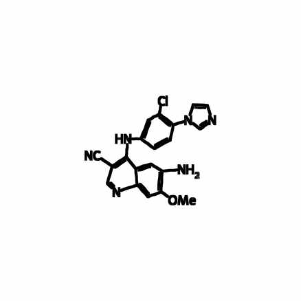 COc1cc2ncc(C#N)c(Nc3ccc(-n4ccnc4)c(Cl)c3)c2cc1N